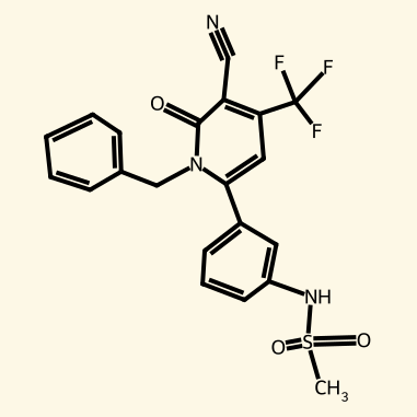 CS(=O)(=O)Nc1cccc(-c2cc(C(F)(F)F)c(C#N)c(=O)n2Cc2ccccc2)c1